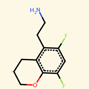 NCCc1c(F)cc(F)c2c1C[CH]CO2